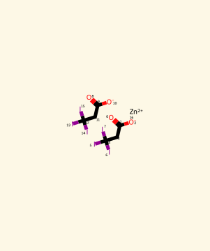 O=C([O-])CC(I)(I)I.O=C([O-])CC(I)(I)I.[Zn+2]